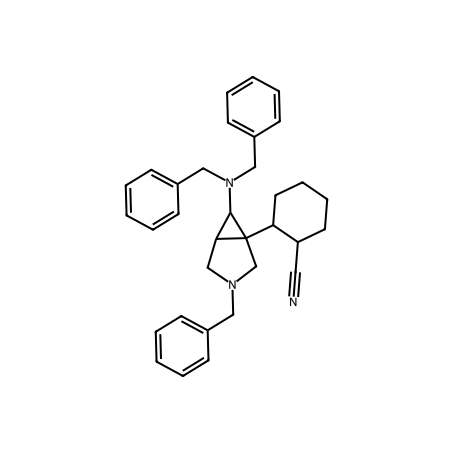 N#CC1CCCCC1C12CN(Cc3ccccc3)CC1C2N(Cc1ccccc1)Cc1ccccc1